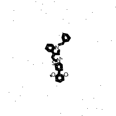 COc1cccc(OC)c1-c1ccc2c(c1)sc(C=C1C=CN(CCc3ccccc3)c3ccccc31)[n+]2C